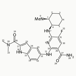 CN[C@H]1CCCC[C@H]1Nc1nc(Nc2ccc3[nH]c(C(=O)N(C)C)cc3c2)c(C(N)=O)cc1F